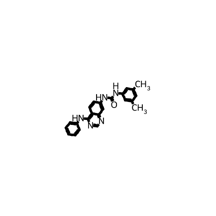 Cc1cc(C)cc(NC(=O)Nc2ccc3c(Nc4ccccc4)ncnc3c2)c1